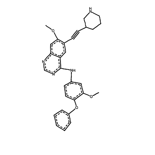 COc1cc2ncnc(Nc3ccc(Oc4ccccc4)c(OC)c3)c2cc1C#CC1CCCNC1